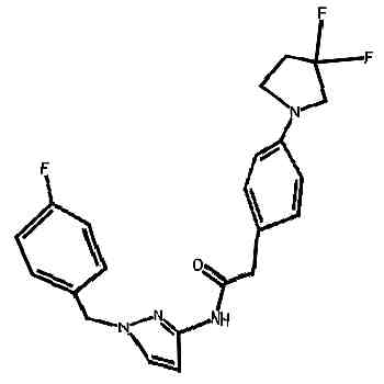 O=C(Cc1ccc(N2CCC(F)(F)C2)cc1)Nc1ccn(Cc2ccc(F)cc2)n1